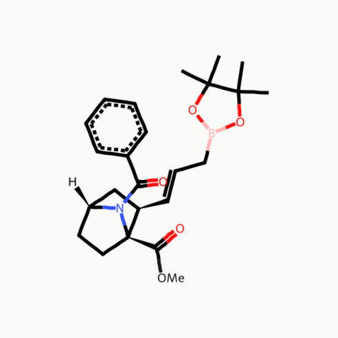 COC(=O)[C@]12CC[C@H](C[C@H]1/C=C/CB1OC(C)(C)C(C)(C)O1)N2C(=O)c1ccccc1